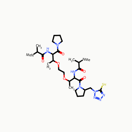 CNC(C)C(=O)NC(C(=O)N1CCCC1)C(C)OCCOC(C)C(NC(=O)C(C)NC)C(=O)N1CCCC1Cn1nnnc1S